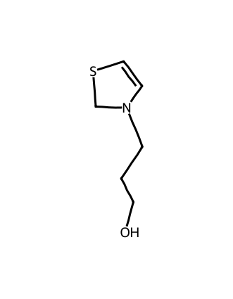 OCCCN1C=CSC1